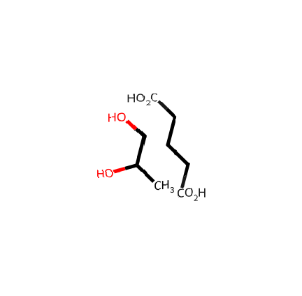 CC(O)CO.O=C(O)CCCC(=O)O